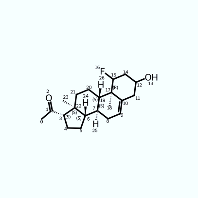 CC(=O)[C@H]1CC[C@H]2[C@@H]3CC=C4CC(O)CC(F)[C@]4(C)[C@H]3CC[C@]12C